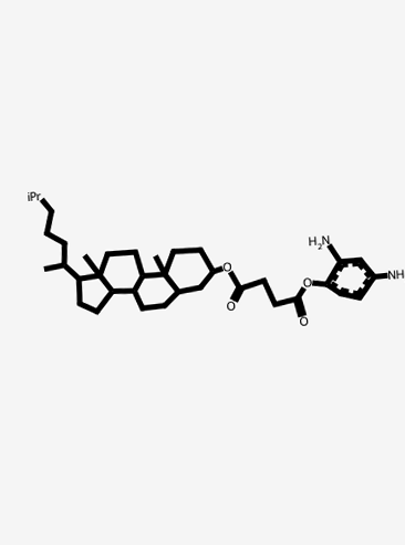 CC(C)CCCC(C)C1CCC2C3CCC4CC(OC(=O)CCC(=O)Oc5ccc(N)cc5N)CCC4(C)C3CCC12C